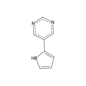 B1C=CC=C1c1cncnc1